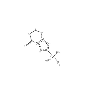 O=C1CCCc2cc(C(F)(F)F)oc21